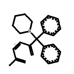 C=C(C)/C=C\C(=C)C(c1ccccc1)(c1ccccc1)N1CCCCC1